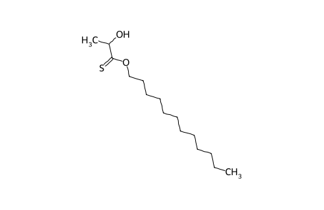 CCCCCCCCCCCCOC(=S)C(C)O